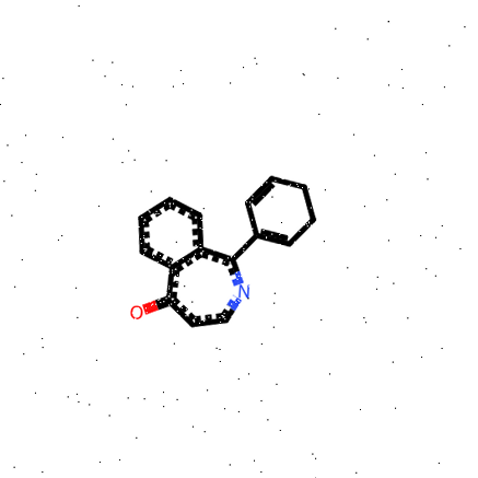 O=c1ccnc(C2=CCCC=C2)c2ccccc12